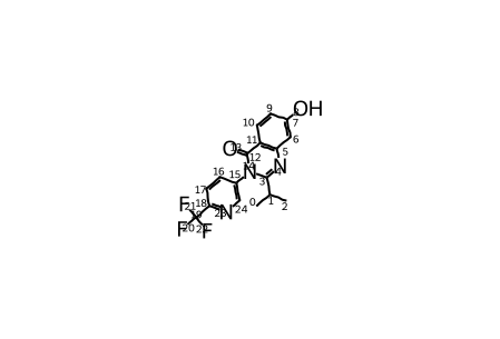 CC(C)c1nc2cc(O)ccc2c(=O)n1-c1ccc(C(F)(F)F)nc1